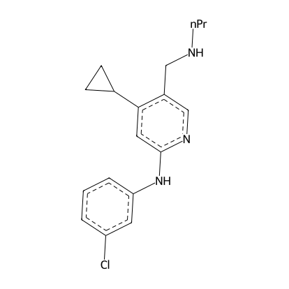 CCCNCc1cnc(Nc2cccc(Cl)c2)cc1C1CC1